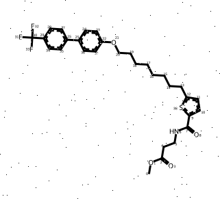 COC(=O)CCNC(=O)c1ccc(CCCCCCCCOc2ccc(-c3ccc(C(F)(F)F)cc3)cc2)s1